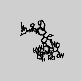 COc1c(CN2O[C@@H](CO)[C@@H]([C@H](C)O)[C@H]2C(=O)N[C@H]2C[C@H]3C[C@@H]([C@@H]2C)C3(C)C)cccc1-c1cc2c(c(C(=O)N[C@@H](CC(C)C)CN(C)C)c1)OCC2